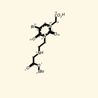 CC(C)(C)OC(=O)CNCCn1c(=O)c(Br)cn(CC(=O)O)c1=O